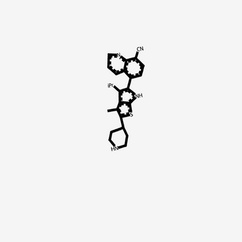 Cc1c(C2CCNCC2)sc2[nH]c(-c3ccc(C#N)c4ncccc34)c(C(C)C)c12